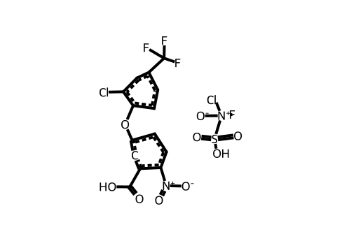 O=C(O)c1cc(Oc2ccc(C(F)(F)F)cc2Cl)ccc1[N+](=O)[O-].O=S(=O)(O)[N+]([O-])(F)Cl